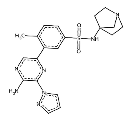 Cc1ccc(S(=O)(=O)NC23CCN(CC2)C3)cc1-c1cnc(N)c(-n2cccn2)n1